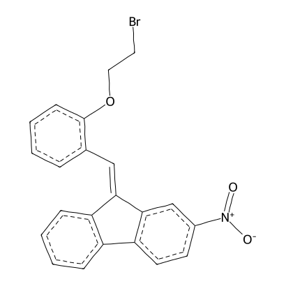 O=[N+]([O-])c1ccc2c(c1)/C(=C/c1ccccc1OCCBr)c1ccccc1-2